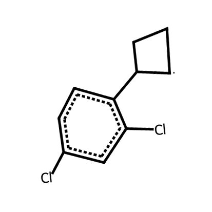 Clc1ccc(C2[CH]CC2)c(Cl)c1